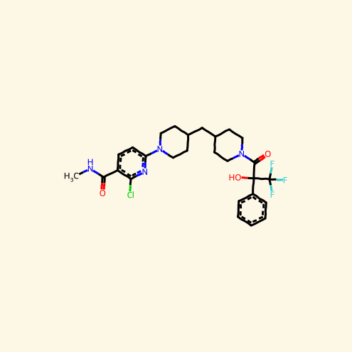 CNC(=O)c1ccc(N2CCC(CC3CCN(C(=O)C(O)(c4ccccc4)C(F)(F)F)CC3)CC2)nc1Cl